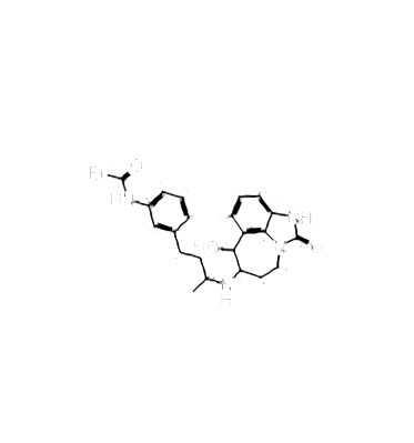 CCC(=O)Nc1cccc(CCC(C)NC2CCn3c(=O)[nH]c4cccc(c43)C2O)c1